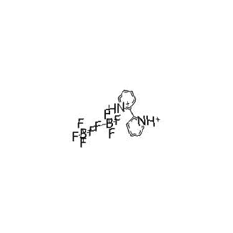 F[B-](F)(F)F.F[B-](F)(F)F.c1ccc(-c2cccc[nH+]2)[nH+]c1